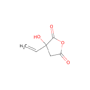 C=CC1(O)CC(=O)OC1=O